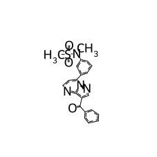 CN(c1cccc(-c2ccnc3c(C(=O)c4ccccc4)cnn23)c1)S(C)(=O)=O